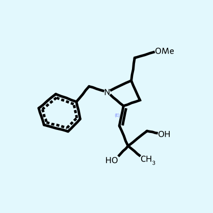 COCC1C/C(=C\C(C)(O)CO)N1Cc1ccccc1